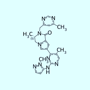 Cc1cc(CN2C(=O)c3cc(-c4nc(Nc5ccnn5C)ncc4C)cn3C[C@@H]2C)ncn1